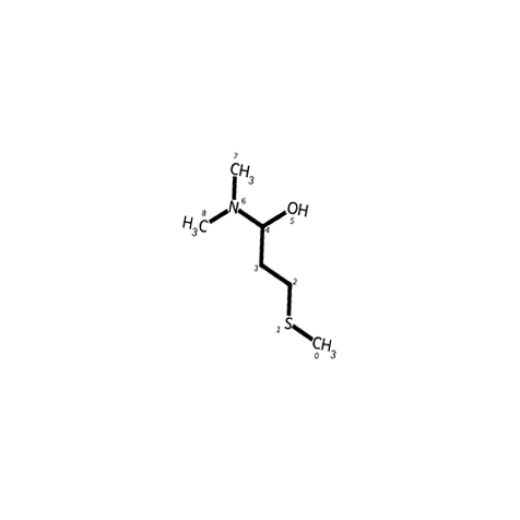 CSCCC(O)N(C)C